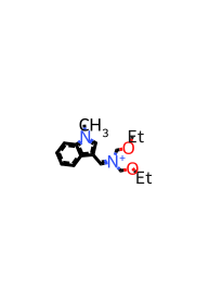 CCOC[N+](=Cc1cn(C)c2ccccc12)COCC